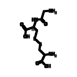 NCC(=O)N[C@@H](CSSCC(N)C(=O)O)C(=O)O